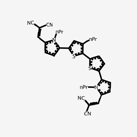 CCCc1cc(-c2ccc(C=C(C#N)C#N)n2CCC)sc1-c1ccc(-c2ccc(C=C(C#N)C#N)n2CCC)s1